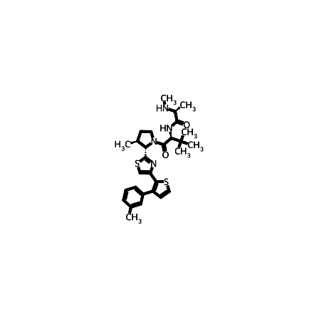 CN[C@@H](C)C(=O)N[C@H](C(=O)N1CC[C@H](C)[C@H]1c1nc(-c2sccc2-c2cccc(C)c2)cs1)C(C)(C)C